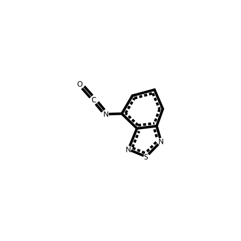 O=C=Nc1cccc2nsnc12